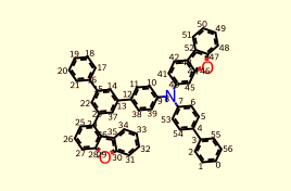 c1ccc(-c2ccc(N(c3ccc(-c4cc(-c5ccccc5)cc(-c5cccc6oc7ccccc7c56)c4)cc3)c3ccc4c(c3)oc3ccccc34)cc2)cc1